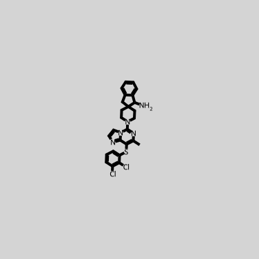 Cc1nc(N2CCC3(CC2)Cc2ccccc2C3N)n2ccnc2c1Sc1cccc(Cl)c1Cl